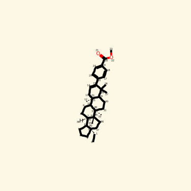 CC[C@]12CCCC1[C@H]1CCC3[C@@]4(C)CC=C(c5ccc(C(=O)OC)cc5)C(C)(C)C4CC[C@@]3(C)[C@]1(C)CC2